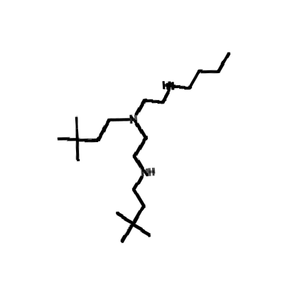 CCCCNCCN(CCNCCC(C)(C)C)CCC(C)(C)C